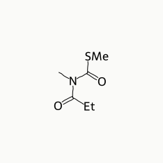 CCC(=O)N(C)C(=O)SC